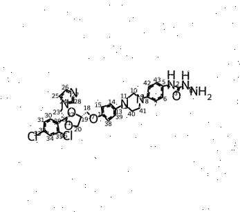 NNC(=O)Nc1ccc(N2CCN(c3ccc(OC[C@@H]4CO[C@@](Cn5ccnc5)(c5ccc(Cl)cc5Cl)O4)cc3)CC2)cc1